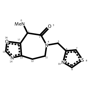 CNC1C(=O)N(Cc2cscn2)CCc2ncoc21